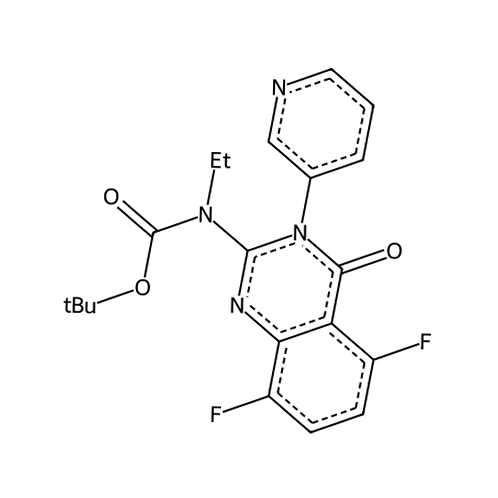 CCN(C(=O)OC(C)(C)C)c1nc2c(F)ccc(F)c2c(=O)n1-c1cccnc1